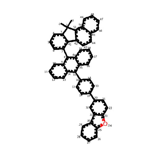 CC1(C)c2cccc(-c3c4ccccc4c(-c4ccc(-c5ccc6oc7ccccc7c6c5)cc4)c4ccccc34)c2-c2ccc3ccccc3c21